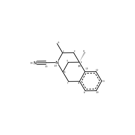 CC1C[C@]2(C)CC(Cc3ccccc32)N1C#N